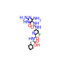 Nc1nc(N)c(NC(=O)Nc2cnc(C(=O)N[C@@H](Cc3ccccc3)C(=O)O)c(F)c2)c(=O)[nH]1